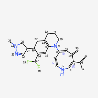 C=C(C)/C1=C/N/C=C\C(N2CCCC3=C2C=C(C(F)F)C(C2C=NN(C)C2)C3)=C/C1=C